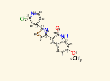 COc1ccc2cc(-c3csc(-c4ccnc(Cl)c4)n3)c(=O)[nH]c2c1